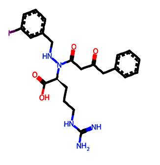 N=C(N)NCCC[C@@H](C(=O)O)N(NCc1cccc(I)c1)C(=O)CC(=O)Cc1ccccc1